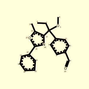 CCC(OC)(c1ccc(C=O)cc1)c1nc(-c2ccccc2)oc1C